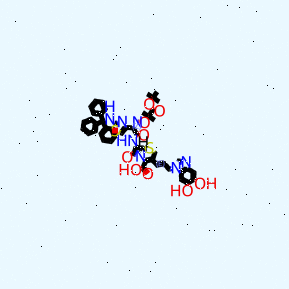 CC(C)(C)OC(=O)C(C)(C)O/N=C(\C(=O)NC1C(=O)N2C(C(=O)O)=C(/C=C/Cn3cnc4cc(O)c(O)cc43)CS[C@H]12)c1csc(NC(c2ccccc2)(c2ccccc2)c2ccccc2)n1